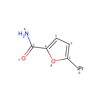 CC(C)c1ccc(C(N)=O)o1